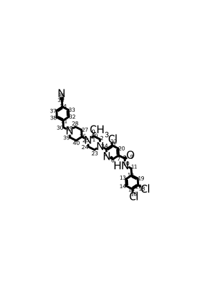 C[C@@H]1CN(c2ncc(C(=O)NCc3ccc(Cl)c(Cl)c3)cc2Cl)CCN1C1CCN(Cc2ccc(C#N)cc2)CC1